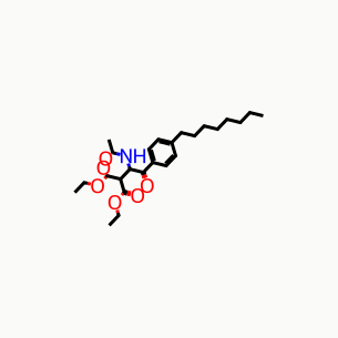 CCCCCCCCc1ccc(C(=O)C(NC(C)=O)C(C(=O)OCC)C(=O)OCC)cc1